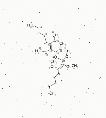 CCCCCC(OC)=C(OC)C(OC)OC(OC)C(OC)=C(CCCCC)OC